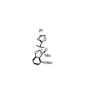 COc1cccc2c1[P@](=O)(C(C)(C)C)[C@@H](C(C)(C)C1=N[C@H](C(C)C)CO1)O2